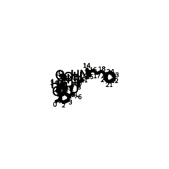 Cc1ccc([C@@H](C)OC[C@H](O)CNC(C)(C)CCCc2ccccc2)c2c1O[C@@H]1[C@@H](C(=O)O)[C@H]21